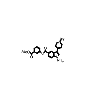 COC(=O)c1cccc(OC(=O)c2ccc3c(c2)c(C2=CCN(C(C)C)CC2)cn3N)c1